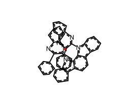 c1ccc(-c2nc3ccccc3nc2-n2c3ccccc3c3ccc4c5ccccc5n(-c5nc6ccccc6nc5-c5ccccc5)c4c32)cc1